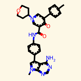 Cc1ccc(-c2cn(C3CCOCC3)cc(C(=O)Nc3ccc(-c4cn(C)c5ncnc(N)c45)cc3)c2=O)cc1